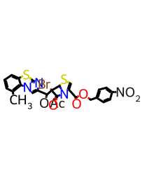 CC(=O)OC(c1cn2c(n1)sc1cccc(C)c12)C1(Br)C(=O)N2C(C(=O)OCc3ccc([N+](=O)[O-])cc3)=CSC21